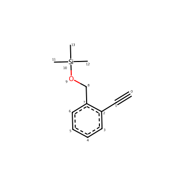 C#Cc1ccccc1CO[Si](C)(C)C